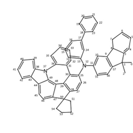 CC1(C)C2=CC=CCC2c2cc(N(c3cccc(-c4ccccc4)c3)c3ccc4c5c3-c3ccccc3-n3c6ccccc6c6ccc(c-5c63)C43CCCC3)ccc21